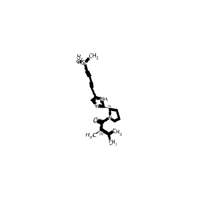 CC(C)[C@H](C)C(=O)N1CCC[C@H]1c1ncc(C#CC#C[SiH](C)C)[nH]1